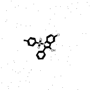 Cc1ccc(S(=O)(=O)n2c(-c3ccccc3)c(O)c3cc(Cl)ccc32)cc1